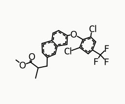 COC(=O)C(C)Cc1ccc2ccc(Oc3c(Cl)cc(C(F)(F)F)cc3Cl)cc2c1